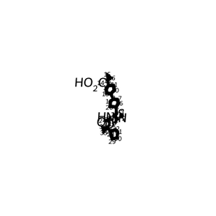 Cc1nsc(-c2ccc(-c3ccc(C4(C(=O)O)CC4)cc3)cc2)c1NC(=O)OC1(c2ccccc2)CC1